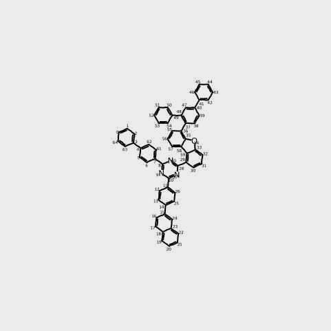 c1ccc(-c2ccc(-c3nc(-c4ccc(-c5ccc6ccccc6c5)cc4)nc(-c4cccc5oc6c(-c7ccc(-c8ccccc8)cc7-c7ccccc7)cccc6c45)n3)cc2)cc1